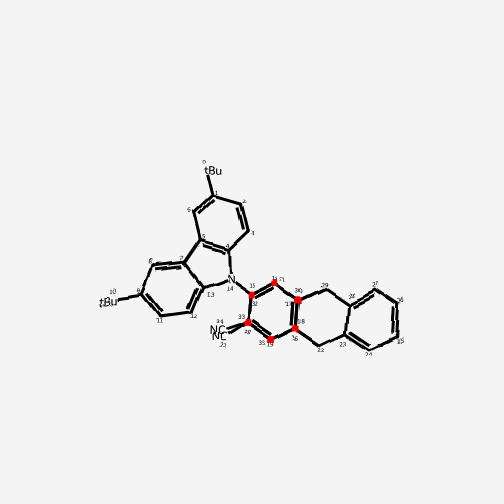 CC(C)(C)c1ccc2c(c1)c1cc(C(C)(C)C)ccc1n2-c1cc2c(cc1C#N)C1c3ccccc3C2c2ccc(C#N)cc21